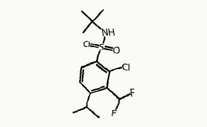 CC(C)c1ccc(S(=O)(=O)NC(C)(C)C)c(Cl)c1C(F)F